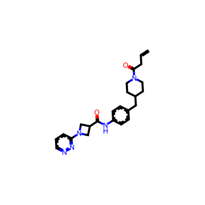 C=CCC(=O)N1CCC(Cc2ccc(NC(=O)C3CN(c4cccnn4)C3)cc2)CC1